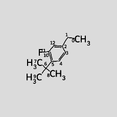 CCc1ccc(C(C)(C)C)c(F)c1